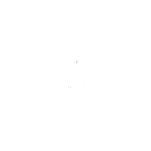 CC(C)(NC=O)c1ncc2sccn12